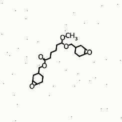 COC(CCCCC(=O)OCC1CCC2OC2C1)OCC1CCC2OC2C1